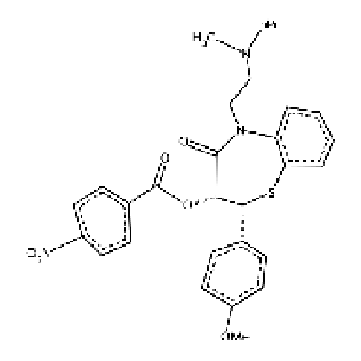 CCCN(C)CCN1C(=O)[C@@H](OC(=O)c2ccc([N+](=O)[O-])cc2)[C@@H](c2ccc(OC)cc2)Sc2ccccc21